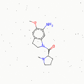 COc1cc2c(cc1N)N(C(=O)[C@H]1CCCN1C)CC2